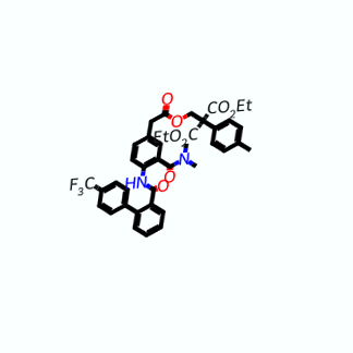 CCOC(=O)C(COC(=O)Cc1ccc(NC(=O)c2ccccc2-c2ccc(C(F)(F)F)cc2)c(C(=O)N(C)C)c1)(C(=O)OCC)c1ccc(C)cc1